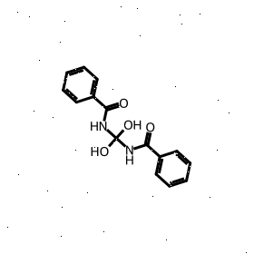 O=C(NC(O)(O)NC(=O)c1ccccc1)c1ccccc1